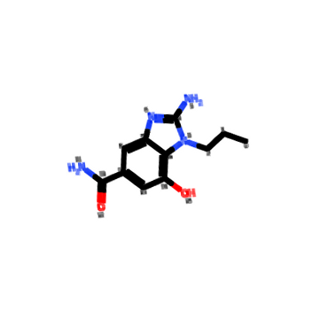 CCCn1c(N)nc2cc(C(N)=O)cc(O)c21